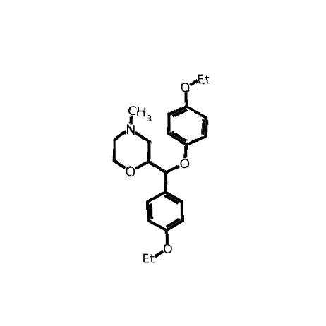 CCOc1ccc(OC(c2ccc(OCC)cc2)C2CN(C)CCO2)cc1